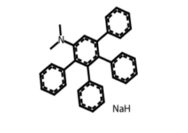 CN(C)c1cc(-c2ccccc2)c(-c2ccccc2)c(-c2ccccc2)c1-c1ccccc1.[NaH]